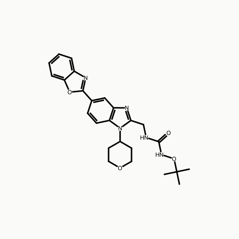 CC(C)(C)ONC(=O)NCc1nc2cc(-c3nc4ccccc4o3)ccc2n1C1CCOCC1